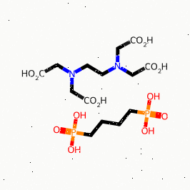 O=C(O)CN(CCN(CC(=O)O)CC(=O)O)CC(=O)O.O=P(O)(O)CCCCP(=O)(O)O